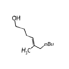 CCCCCC(C)=CCCCO